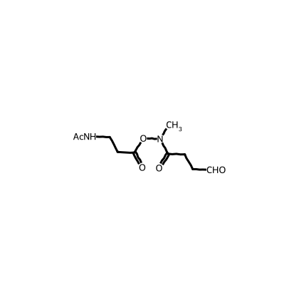 CC(=O)NCCC(=O)ON(C)C(=O)CCC=O